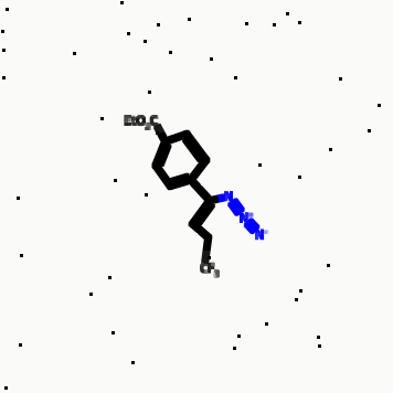 CCOC(=O)c1ccc(C(=CCC(F)(F)F)N=[N+]=[N-])cc1